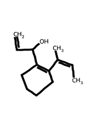 C=CC(O)C1=C(/C(C)=C\C)CCCC1